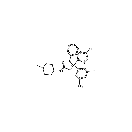 CN1CCC(NC(=O)N[C@@](Cc2ccccc2)(c2cc(F)cc(C(F)(F)F)c2)c2ccc(Cl)cn2)CC1